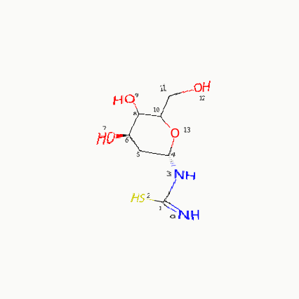 N=C(S)N[C@@H]1C[C@@H](O)C(O)C(CO)O1